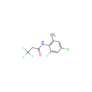 Cc1cc(Cl)cc(F)c1NC(=O)CC(F)(F)F